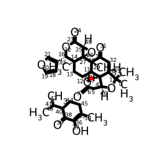 CC1(C)O[C@H]2CC(=O)OC[C@]23[C@H]2CC[C@@]4(C)[C@H](c5ccoc5)OC(=O)[C@H]5O[C@]54[C@]2(C)C(=O)C[C@@H]13.CC1=C(O)C(=O)C(C(C)C)CC1